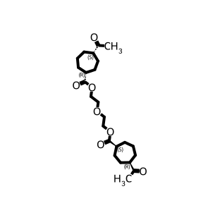 CC(=O)[C@@H]1CCC[C@H](C(=O)OCCOCCOC(=O)[C@@H]2CCC[C@H](C(C)=O)CC2)CC1